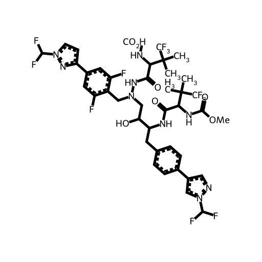 COC(=O)NC(C(=O)NC(Cc1ccc(-c2cnn(C(F)F)c2)cc1)C(O)CN(Cc1c(F)cc(-c2ccn(C(F)F)n2)cc1F)NC(=O)C(NC(=O)O)C(C)(C)C(F)(F)F)C(C)(C)C(F)(F)F